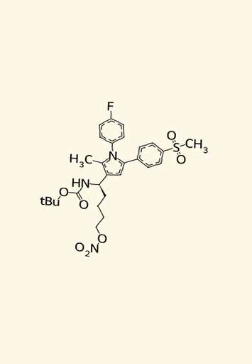 Cc1c([C@@H](CCCCO[N+](=O)[O-])NC(=O)OC(C)(C)C)cc(-c2ccc(S(C)(=O)=O)cc2)n1-c1ccc(F)cc1